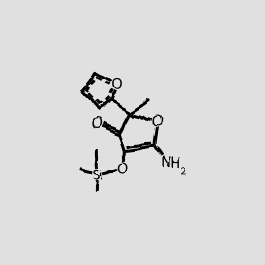 CC1(c2ccco2)OC(N)=C(O[Si](C)(C)C)C1=O